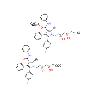 CC(C)c1c(C(=O)Nc2ccccc2)c(-c2ccccc2)c(-c2ccc(F)cc2)n1CC[C@@H](O)C[C@@H](O)CC(=O)[O-].CC(C)c1c(C(=O)Nc2ccccc2)c(-c2ccccc2)c(-c2ccc(F)cc2)n1CC[C@@H](O)C[C@@H](O)CC(=O)[O-].[Ca+2].[MgH2]